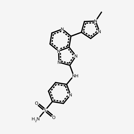 Cn1cc(-c2nccn3nc(Nc4ccc(S(N)(=O)=O)cn4)nc23)cn1